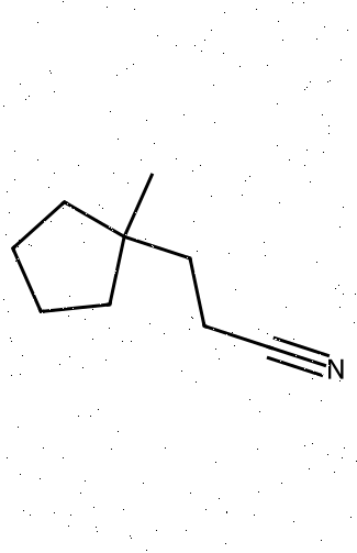 CC1(CCC#N)CCCC1